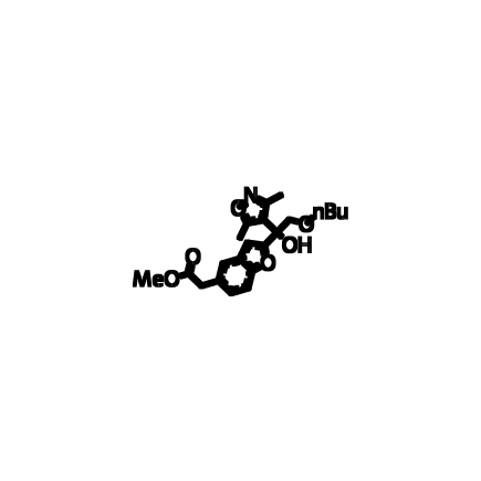 CCCCOCC(O)(c1cc2cc(CC(=O)OC)ccc2o1)c1c(C)noc1C